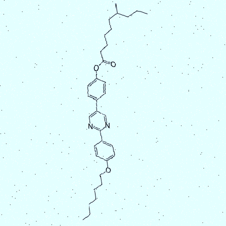 CCCCCCCOc1ccc(-c2ncc(-c3ccc(OC(=O)CCCCCC(C)CCC)cc3)cn2)cc1